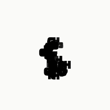 CN1CCn2c(=O)c3ccc(Nc4ncc(-c5nnco5)c(N[C@H](CO)c5ccccc5)n4)c(F)c3n2CC1=O